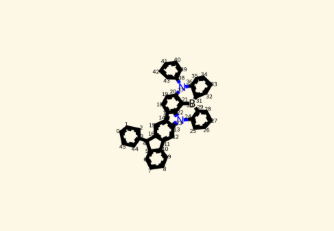 c1ccc(C2c3ccccc3-c3cc4c(cc32)c2ccc3c5c2n4-c2ccccc2B5c2ccccc2N3c2ccccc2)cc1